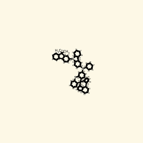 CC1(C)c2ccccc2-c2ccc(-n3c4ccccc4c4cc(N(c5ccccc5)c5ccc6c(c5)Sc5ccccc5C65c6ccccc6-c6cccc7cccc5c67)ccc43)cc21